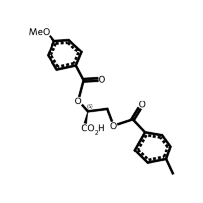 COc1ccc(C(=O)O[C@@H](COC(=O)c2ccc(C)cc2)C(=O)O)cc1